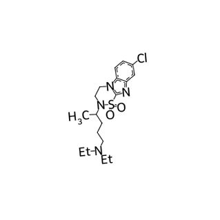 CCN(CC)CCCC(C)N1CCn2c(nc3cc(Cl)ccc32)S1(=O)=O